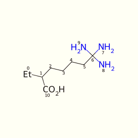 CCC(CCCCC(N)(N)N)C(=O)O